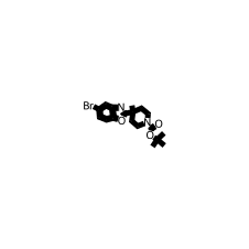 CC(C)(C)OC(=O)N1CCC(C)(c2nc3cc(Br)ccc3o2)CC1